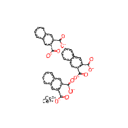 O=C([O-])c1cc2ccccc2cc1C(=O)[O-].O=C([O-])c1cc2ccccc2cc1C(=O)[O-].O=C([O-])c1cc2ccccc2cc1C(=O)[O-].[Ce+3].[Ce+3]